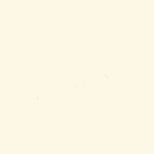 O=C1OCC(CCN2CCC(Cc3cc(F)ccc3Br)CC2)CN1C1CCCCC1